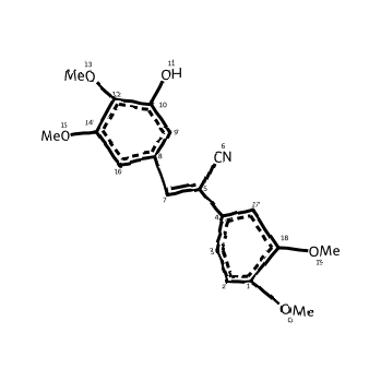 COc1ccc(C(C#N)=Cc2cc(O)c(OC)c(OC)c2)cc1OC